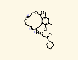 Cc1cc(C)c2c(c1Cl)CC(=N\OCC(=O)N1CCCCC1)/C=C/CC/C=C/COC2=O